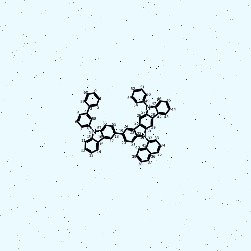 c1ccc(-c2cccc(-n3c4ccccc4c4cc(-c5ccc6c(c5)c5cc7c(cc5n6-c5cccc6ccccc56)c5ccccc5n7-c5ccccc5)ccc43)c2)cc1